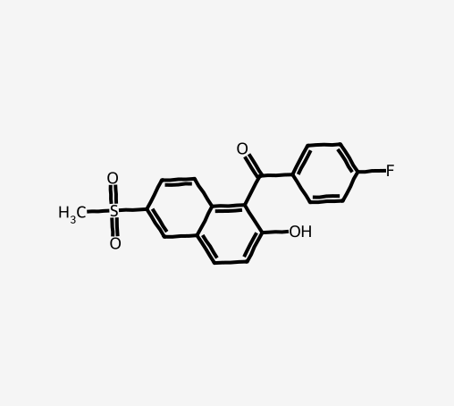 CS(=O)(=O)c1ccc2c(C(=O)c3ccc(F)cc3)c(O)ccc2c1